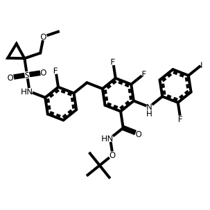 COCC1(S(=O)(=O)Nc2cccc(Cc3cc(C(=O)NOC(C)(C)C)c(Nc4ccc(I)cc4F)c(F)c3F)c2F)CC1